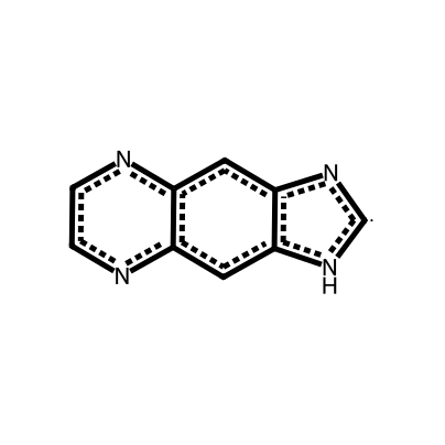 [c]1nc2cc3nccnc3cc2[nH]1